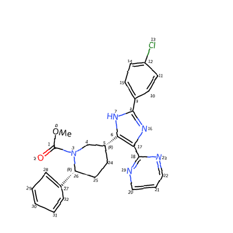 COC(=O)N1C[C@H](c2[nH]c(-c3ccc(Cl)cc3)nc2-c2ncccn2)CC[C@@H]1c1ccccc1